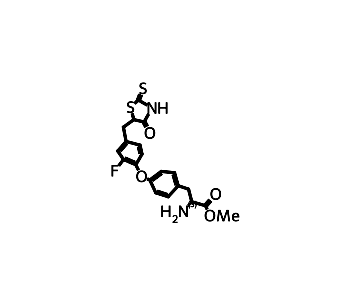 COC(=O)[C@@H](N)Cc1ccc(Oc2ccc(CC3SC(=S)NC3=O)cc2F)cc1